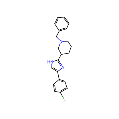 Fc1ccc(-c2c[nH]c(C3CCCN(Cc4ccccc4)C3)n2)cc1